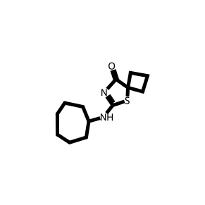 O=C1N=C(NC2CCCCCC2)SC12CCC2